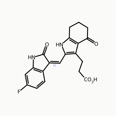 O=C(O)CCc1c(/C=C2\C(=O)Nc3cc(F)ccc32)[nH]c2c1C(=O)CCC2